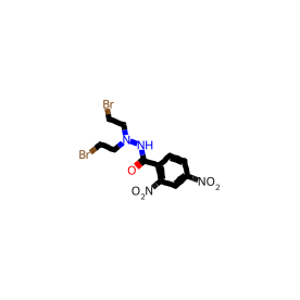 O=C(NN(CCBr)CCBr)c1ccc([N+](=O)[O-])cc1[N+](=O)[O-]